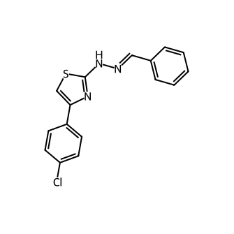 Clc1ccc(-c2csc(NN=Cc3ccccc3)n2)cc1